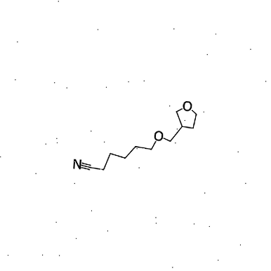 N#CCCCCCOCC1CCOC1